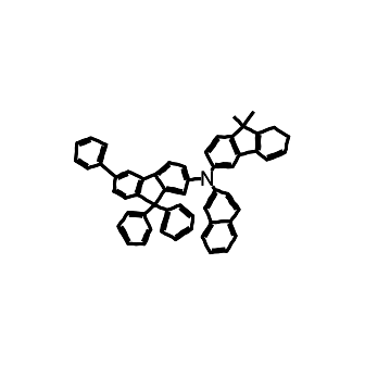 CC1(C)C2=C(C=CCC2)c2cc(N(c3ccc4c(c3)C(c3ccccc3)(c3ccccc3)c3ccc(-c5ccccc5)cc3-4)c3ccc4ccccc4c3)ccc21